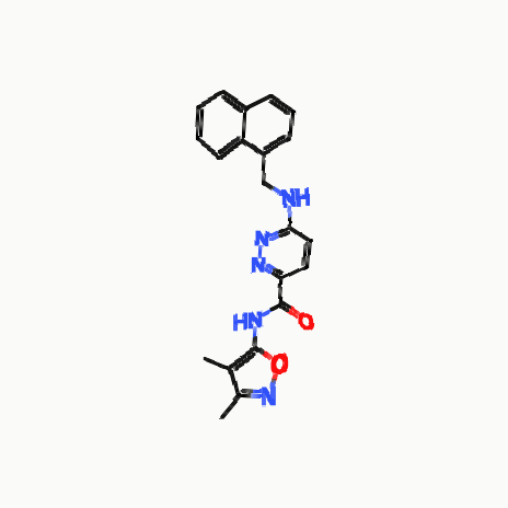 Cc1noc(NC(=O)c2ccc(NCc3cccc4ccccc34)nn2)c1C